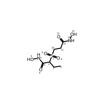 CCC(C(=O)NO)S(=O)(=O)CCC(=O)NO